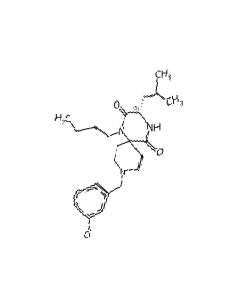 CCCCN1C(=O)[C@H](CC(C)C)NC(=O)C12CCN(Cc1cccc(Cl)c1)CC2